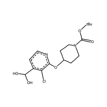 CC(C)(C)OC(=O)N1CCC(Oc2nccc(C(O)O)c2Cl)CC1